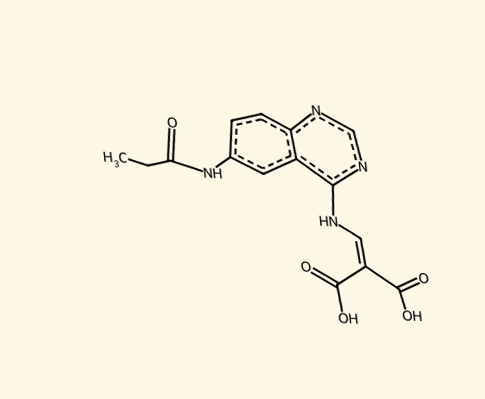 CCC(=O)Nc1ccc2ncnc(NC=C(C(=O)O)C(=O)O)c2c1